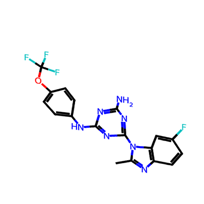 Cc1nc2ccc(F)cc2n1-c1nc(N)nc(Nc2ccc(OC(F)(F)F)cc2)n1